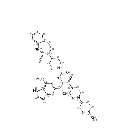 Cc1cc([C@@H](C)C(OC(=O)N2CCC(N3CCc4ccccc4NC3=O)CC2)C(=O)N2CCN(C3CCN(C)CC3)CC2)cc2nc[nH]c12